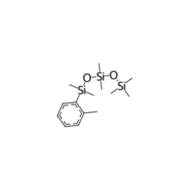 Cc1ccccc1[Si](C)(C)O[Si](C)(C)O[Si](C)(C)C